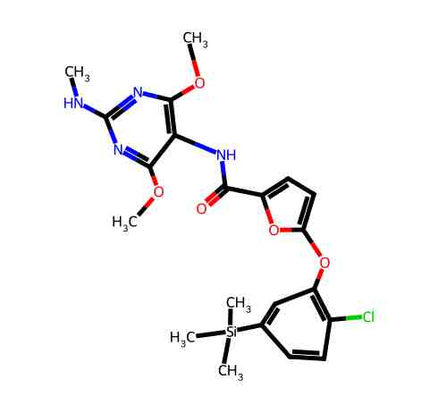 CNc1nc(OC)c(NC(=O)c2ccc(Oc3cc([Si](C)(C)C)ccc3Cl)o2)c(OC)n1